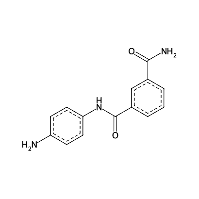 NC(=O)c1cccc(C(=O)Nc2ccc(N)cc2)c1